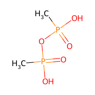 CP(=O)(O)OP(C)(=O)O